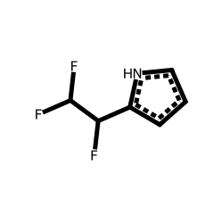 FC(F)C(F)c1ccc[nH]1